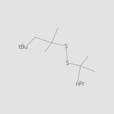 CCCC(C)(C)SSC(C)(C)CC(C)(C)C